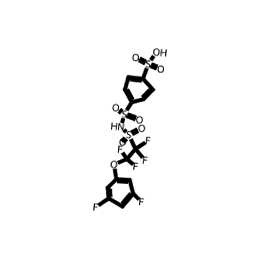 O=S(=O)(O)c1ccc(S(=O)(=O)NS(=O)(=O)C(F)(F)C(F)(F)Oc2cc(F)cc(F)c2)cc1